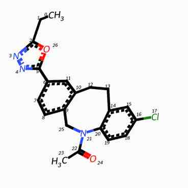 CCc1nnc(-c2ccc3c(c2)CCc2cc(Cl)ccc2N(C(C)=O)C3)o1